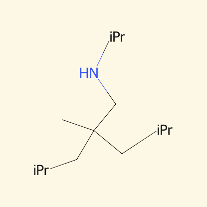 CC(C)CC(C)(CNC(C)C)CC(C)C